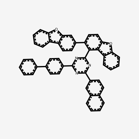 c1ccc(-c2ccc(-c3nc(-c4ccc5ccccc5c4)nc(-c4c(-c5ccc6c(c5)oc5ccccc56)ccc5oc6ccccc6c45)n3)cc2)cc1